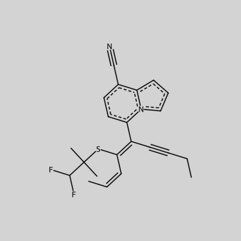 C/C=C\C(SC(C)(C)C(F)F)=C(/C#CCC)c1ccc(C#N)c2cccn12